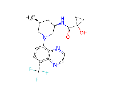 C[C@H]1C[C@@H](NC(=O)C2(O)CC2)CN(c2ccc(C(F)(F)F)c3nccnc23)C1